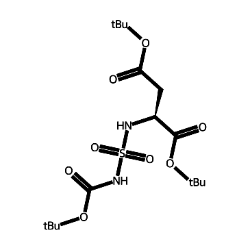 CC(C)(C)OC(=O)C[C@H](NS(=O)(=O)NC(=O)OC(C)(C)C)C(=O)OC(C)(C)C